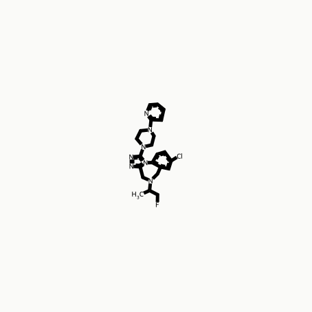 CC(CF)N1Cc2cc(Cl)ccc2-n2c(nnc2N2CCN(c3ccccn3)CC2)C1